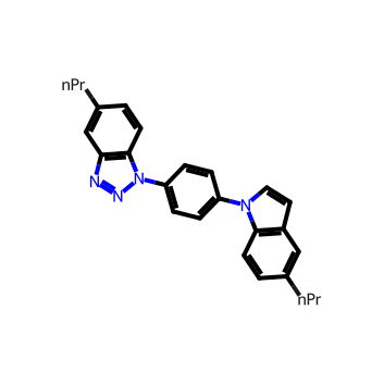 CCCc1ccc2c(ccn2-c2ccc(-n3nnc4cc(CCC)ccc43)cc2)c1